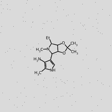 CCC1C2OC(C)(C)OC2C(c2c[nH]c(C)c2N)N1C